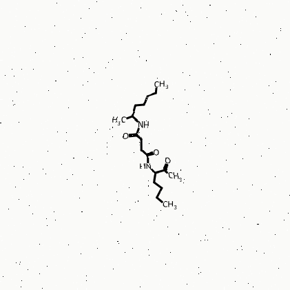 CCCCCC(C)NC(=O)CCC(=O)NC(CCCC)C(C)=O